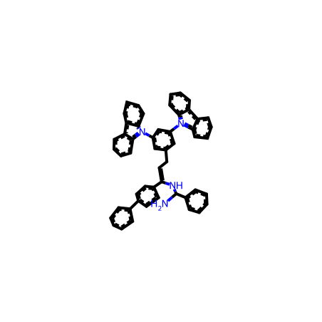 NC(N/C(=C\Cc1cc(-n2c3ccccc3c3ccccc32)cc(-n2c3ccccc3c3ccccc32)c1)c1ccc(-c2ccccc2)cc1)c1ccccc1